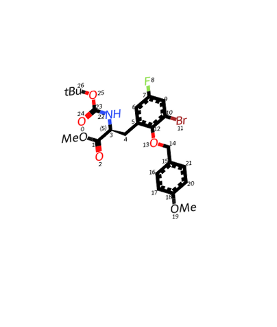 COC(=O)[C@H](Cc1cc(F)cc(Br)c1OCc1ccc(OC)cc1)NC(=O)OC(C)(C)C